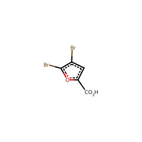 O=C(O)c1cc(Br)c(Br)o1